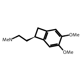 CNCC[C@H]1Cc2cc(OC)c(OC)cc21